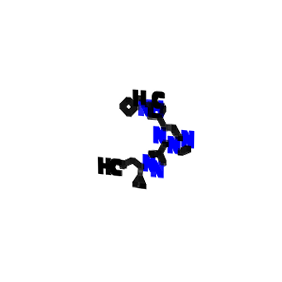 C#CCC(C1CC1)n1cc(-c2nc(/C(C=C)=C/NC3CCC3)cc3nccn23)cn1